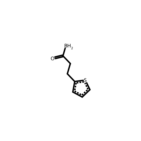 BC(=O)CCc1cccs1